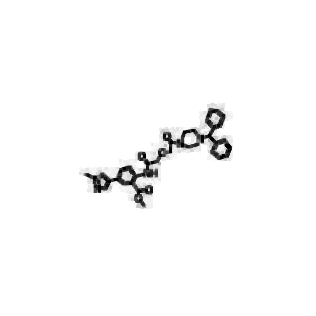 COC(=O)c1cc(-c2cnn(C)c2)ccc1NC(=O)COCC(=O)N1CCN(C(c2ccccc2)c2ccccc2)CC1